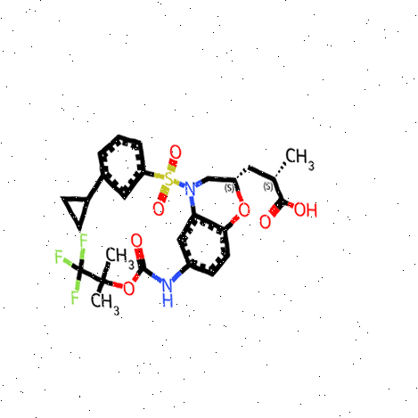 C[C@@H](C[C@H]1CN(S(=O)(=O)c2cccc(C3CC3)c2)c2cc(NC(=O)OC(C)(C)C(F)(F)F)ccc2O1)C(=O)O